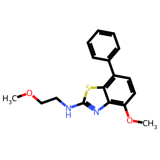 COCCNc1nc2c(OC)ccc(-c3ccccc3)c2s1